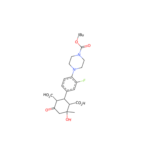 CC(C)(C)OC(=O)N1CCN(c2ccc(C3C(C(=O)O)C(=O)CC(C)(O)C3C(=O)O)cc2F)CC1